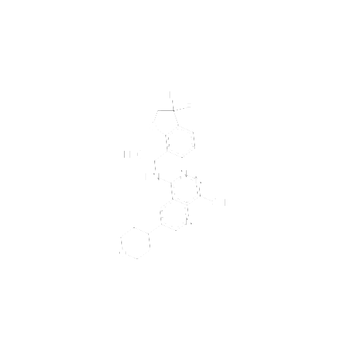 Cc1nnc(N[C@H](C)c2cccc3c2OCC3(F)F)c2cc(C3CCOCC3)cnc12